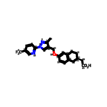 Cc1nn(-c2ccc(C(F)(F)F)cn2)cc1COc1ccc2c(c1)CC[C@@H](CC(=O)O)C2